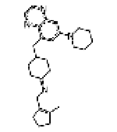 CC1=C(CN=C2CCC(Cc3cc(N4CCCCC4)cc4nccnc34)CC2)CCC1